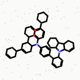 C1=CC(c2ccc(N(c3ccc(C4CCCCC4)cc3)C3CC=C(C4CC=CCC4)CC3C3CC=CCC3)cc2)C(N2C3C=CCCC3C3CCCCC32)C=C1